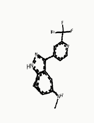 CNc1ccc2[nH]nc(-c3ccnc(C(F)(F)F)c3)c2c1